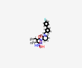 CCC[C@H](C(=O)NO)C(CC(C)C)C(=O)N[C@H]1CCCCN(Cc2cccc(-c3ccc(F)cc3)c2)C1=O